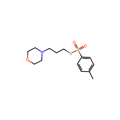 Cc1ccc(S(=O)(=O)SCCCN2CCOCC2)cc1